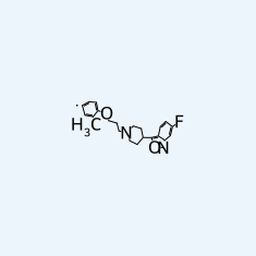 Cc1c[c]ccc1OCCCN1CCC(c2onc3cc(F)ccc23)CC1